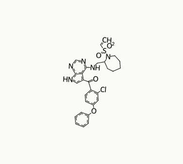 C=CS(=O)(=O)N1CCCCCC1CNc1ncnc2[nH]cc(C(=O)c3ccc(Oc4ccccc4)cc3Cl)c12